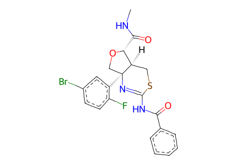 CNC(=O)[C@H]1OC[C@]2(c3cc(Br)ccc3F)N=C(NC(=O)c3ccccc3)SC[C@H]12